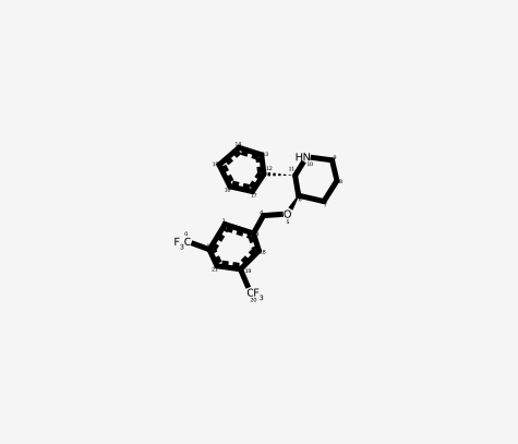 FC(F)(F)c1cc(CO[C@@H]2CCCN[C@H]2c2ccccc2)cc(C(F)(F)F)c1